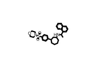 CC(NC1CCCCC(c2ccc(S(=O)(=O)N3CCOCC3)cc2)C1)c1cccc2ccccc12